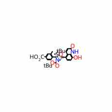 Cc1cc(C(=O)O)ccc1CN(C[C@H](O[Si](C)(C)C(C)(C)C)c1ccc(O)c2[nH]c(=O)ccc12)C(=O)OC(C)(C)C